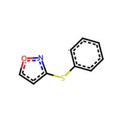 [c]1ccccc1Sc1ccon1